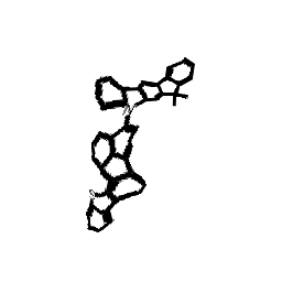 CC1(C)c2ccccc2-c2cc3c4ccccc4n(-c4ccc5c6c(cccc46)-c4c-5ccc5c4sc4ccccc45)c3cc21